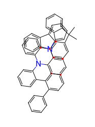 CC1(C)c2ccccc2-c2c(-c3ccccc3N(c3ccccc3-c3ccccc3-c3ccccc3)c3ccccc3-n3c4ccccc4c4ccccc43)cccc21